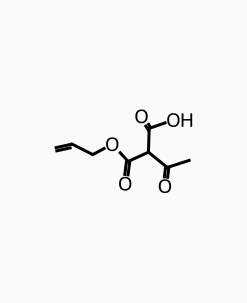 C=CCOC(=O)C(C(C)=O)C(=O)O